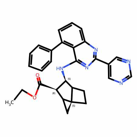 CCOC(=O)[C@@H]1C2C[C@@]23CCC3[C@@H]1Nc1nc(-c2cncnc2)nc2cccc(-c3ccccc3)c12